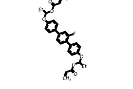 C=CC(=O)OC(CC)Oc1ccc(-c2ccc(-c3ccc(OC(CC)OC(=O)C=C)cc3)c(F)c2)cc1